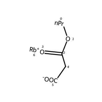 CCCOC(=O)CC(=O)[O-].[Rb+]